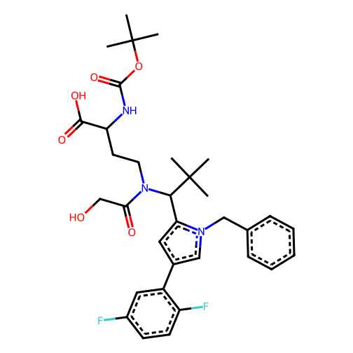 CC(C)(C)OC(=O)NC(CCN(C(=O)CO)C(c1cc(-c2cc(F)ccc2F)cn1Cc1ccccc1)C(C)(C)C)C(=O)O